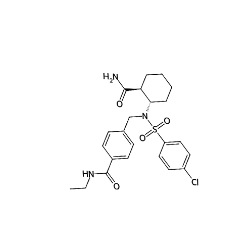 CCNC(=O)c1ccc(CN([C@H]2CCCC[C@@H]2C(N)=O)S(=O)(=O)c2ccc(Cl)cc2)cc1